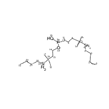 CCCC[SiH2]C(C)(C)CCOP(O)OCCC(C)(C)[SiH2]CCCC